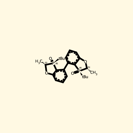 C[C@H]1Oc2cccc(-c3cccc4c3[P@](=O)(C(C)(C)C)[C@@H](C)O4)c2[P@]1(=O)C(C)(C)C